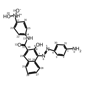 Nc1ccc(N=Nc2c(O)c(C(=O)Nc3ccc([NH+]([O-])O)cc3)cc3ccccc23)cc1